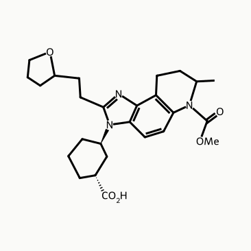 COC(=O)N1c2ccc3c(nc(CCC4CCCO4)n3[C@@H]3CCC[C@@H](C(=O)O)C3)c2CCC1C